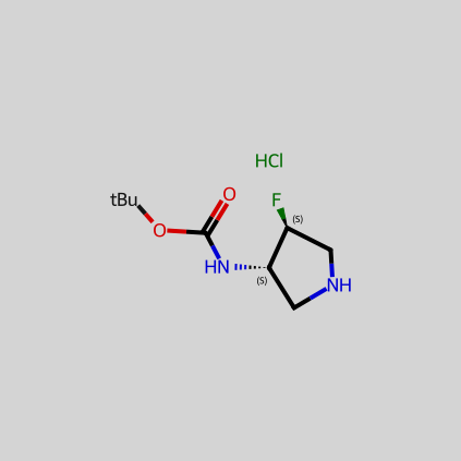 CC(C)(C)OC(=O)N[C@H]1CNC[C@@H]1F.Cl